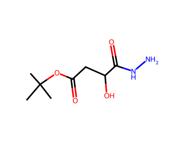 CC(C)(C)OC(=O)CC(O)C(=O)NN